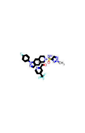 Cn1ncc([S@@](=N)(=O)N2CCC3=Cc4c(cnn4-c4ccc(F)cc4)C[C@]3(C(=O)c3cc(C(F)(F)F)ccn3)C2)n1